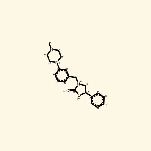 CN1CCN(c2cccc(CN3CC(c4ccccc4)OC3=O)c2)CC1